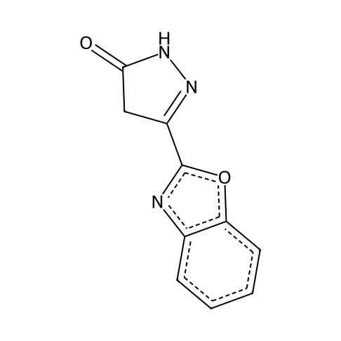 O=C1CC(c2nc3ccccc3o2)=NN1